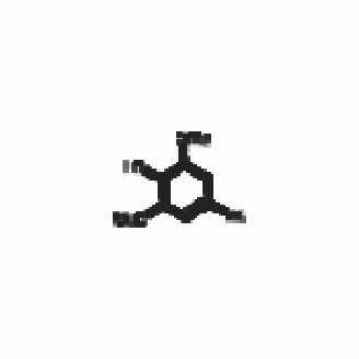 COC1=C(O)C(OC)CC(C(C)=O)=C1